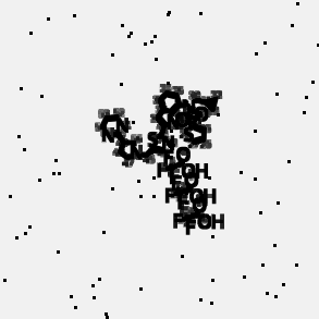 O=C(O)C(F)(F)F.O=C(O)C(F)(F)F.O=C(O)C(F)(F)F.O=S(=O)(c1cccs1)N(CC1CC1)c1cccc2cc(-c3ncc(CN4CCC(c5ncccn5)C4)s3)[nH]c12